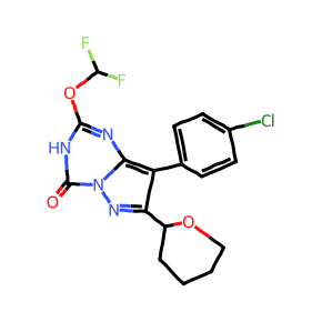 O=c1[nH]c(OC(F)F)nc2c(-c3ccc(Cl)cc3)c(C3CCCCO3)nn12